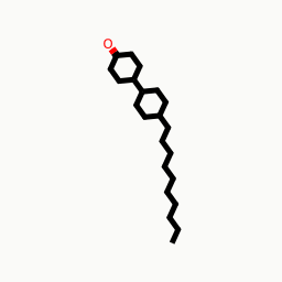 CCCCCCCCCCC1CCC(C2CCC(=O)CC2)CC1